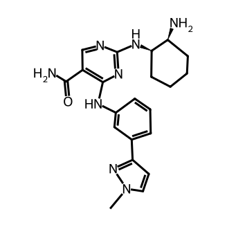 Cn1ccc(-c2cccc(Nc3nc(N[C@@H]4CCCC[C@@H]4N)ncc3C(N)=O)c2)n1